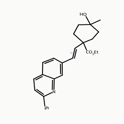 CCOC(=O)C1(/C=C/c2ccc3ccc(C(C)C)nc3c2)CCC(C)(O)CC1